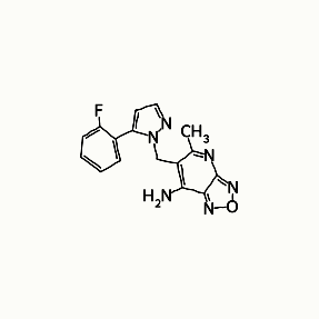 Cc1nc2nonc2c(N)c1Cn1nccc1-c1ccccc1F